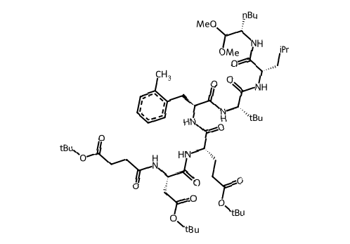 CCCC[C@H](NC(=O)[C@H](CC(C)C)NC(=O)[C@@H](NC(=O)[C@H](Cc1ccccc1C)NC(=O)[C@H](CCC(=O)OC(C)(C)C)NC(=O)[C@H](CC(=O)OC(C)(C)C)NC(=O)CCC(=O)OC(C)(C)C)C(C)(C)C)C(OC)OC